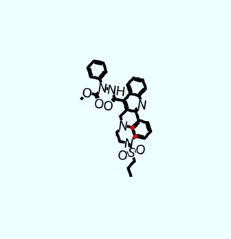 CCCS(=O)(=O)N1CCN(Cc2c(-c3ccccc3)nc3ccccc3c2C(=O)NN(C(=O)OC)c2ccccc2)CC1